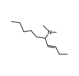 CCC=CC(CCCCC)N(C)C